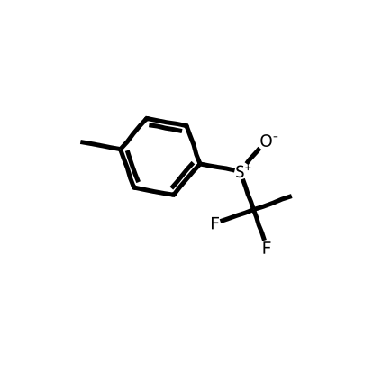 Cc1ccc([S+]([O-])C(C)(F)F)cc1